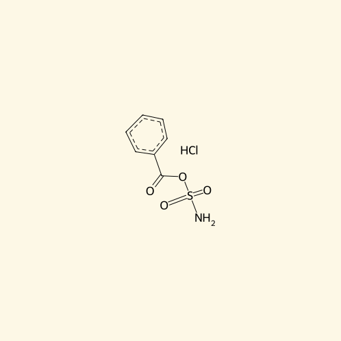 Cl.NS(=O)(=O)OC(=O)c1ccccc1